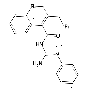 CC(C)Cc1cnc2ccccc2c1C(=O)NC(N)=Nc1ccccc1